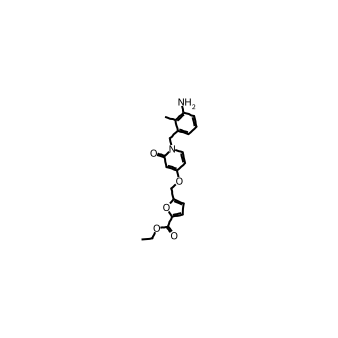 CCOC(=O)c1ccc(COc2ccn(Cc3cccc(N)c3C)c(=O)c2)o1